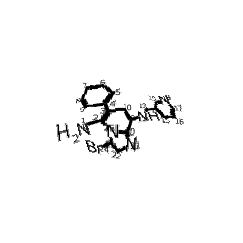 NCC1=C(c2ccccc2)C=C(NCc2cccnc2)C2=NCC(Br)N21